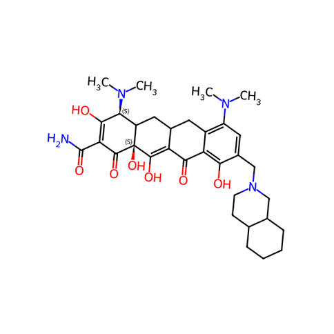 CN(C)c1cc(CN2CCC3CCCCC3C2)c(O)c2c1CC1CC3[C@H](N(C)C)C(O)=C(C(N)=O)C(=O)[C@@]3(O)C(O)=C1C2=O